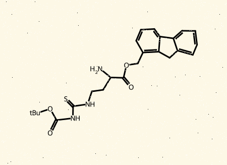 CC(C)(C)OC(=O)NC(=S)NCCC(N)C(=O)OCc1cccc2c1Cc1ccccc1-2